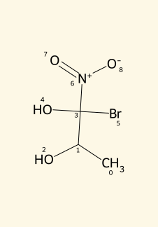 CC(O)C(O)(Br)[N+](=O)[O-]